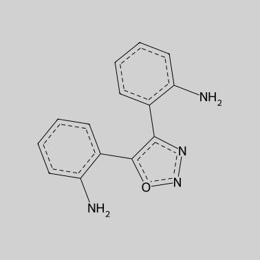 Nc1ccccc1-c1nnoc1-c1ccccc1N